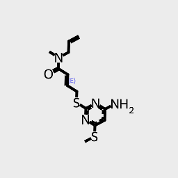 C=CCN(C)C(=O)/C=C/CSc1nc(N)cc(SC)n1